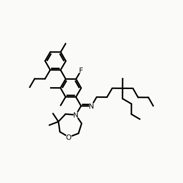 CCCCC(C)(CCCC)CCC/N=C(\c1cc(F)c(-c2cc(C)ccc2CCC)c(C)c1C)N1CCOCC(C)(C)C1